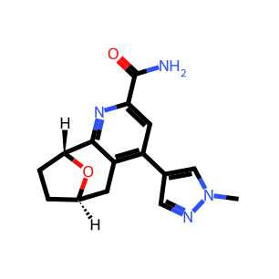 Cn1cc(-c2cc(C(N)=O)nc3c2C[C@H]2CC[C@H]3O2)cn1